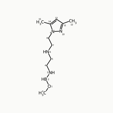 COBNCCNCCn1nc(C)cc1C